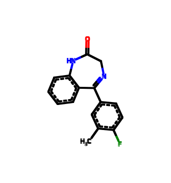 Cc1cc(C2=NCC(=O)Nc3ccccc32)ccc1F